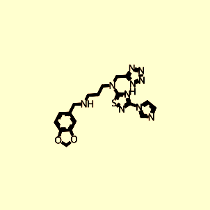 c1cn(-c2nsc(N(CCCNCc3ccc4c(c3)OCO4)Cc3nnn[nH]3)n2)cn1